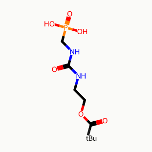 CC(C)(C)C(=O)OCCNC(=O)NCP(=O)(O)O